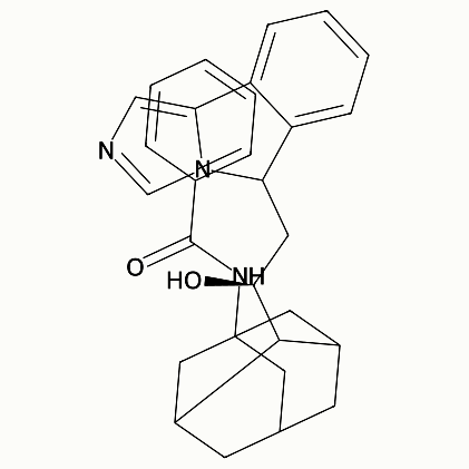 O=C(NC12CC3CC(C1)C([C@@H](O)CC1c4ccccc4-c4cncn41)C(C3)C2)c1ccccc1